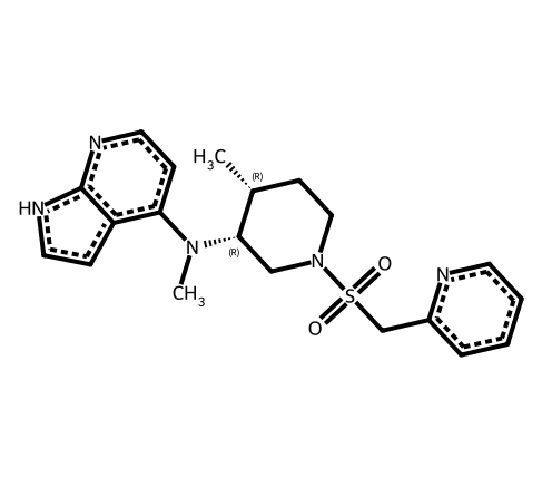 C[C@@H]1CCN(S(=O)(=O)Cc2ccccn2)C[C@@H]1N(C)c1ccnc2[nH]ccc12